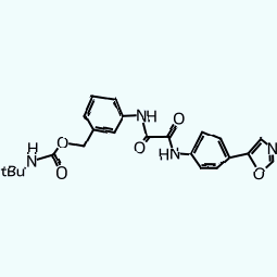 CC(C)(C)NC(=O)OCc1cccc(NC(=O)C(=O)Nc2ccc(-c3cnco3)cc2)c1